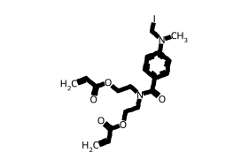 C=CC(=O)OCCN(CCOC(=O)C=C)C(=O)c1ccc(N(C)CI)cc1